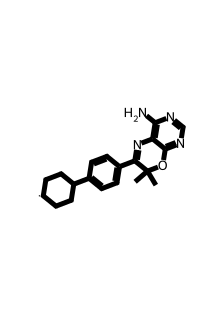 CC1(C)Oc2ncnc(N)c2N=C1c1ccc(C2CC[CH]CC2)cc1